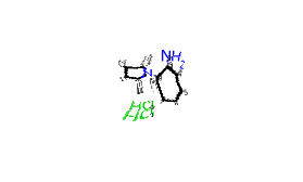 Cl.Cl.N[C@@H]1CCCC[C@@H]1N1CCCC1